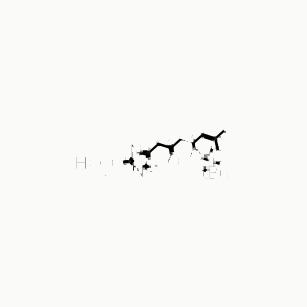 CC(C)=C[C@H](CC(=O)Cc1nc(C(=O)O)no1)O[Si](C)(C)C(C)(C)C